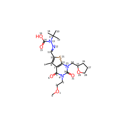 COCCn1c(=O)c2c(C)c(C=NN(C(=O)O)C(C)(C)C)sc2n(CC2CCCO2)c1=O